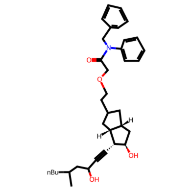 CCCCC(C)CC(O)C#C[C@@H]1[C@@H]2CC(CCOCC(=O)N(Cc3ccccc3)c3ccccc3)C[C@@H]2C[C@H]1O